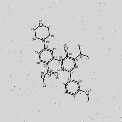 COc1cccc(-c2cc(C(C)C)c(=O)n(-c3cc(N4CCOCC4)ccc3[N+](=O)OC)n2)c1